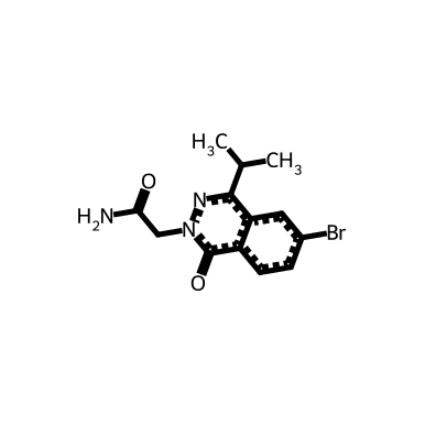 CC(C)c1nn(CC(N)=O)c(=O)c2ccc(Br)cc12